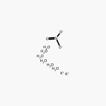 O.O.O.O.O.O.O=[Si]([O-])[O-].[K+].[K+]